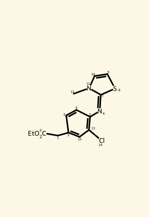 CCOC(=O)Cc1ccc(N=c2sccn2C)c(Cl)c1